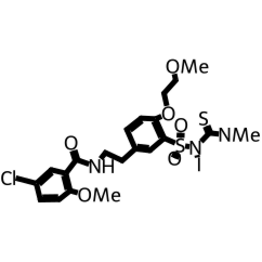 CNC(=S)N(I)S(=O)(=O)c1cc(CCNC(=O)c2cc(Cl)ccc2OC)ccc1OCCOC